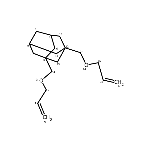 C=CCOCC12CC3CC(C1)CC(COCC=C)(C3)C2